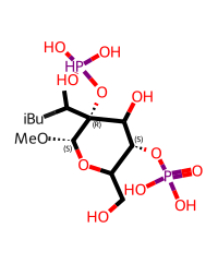 CCC(C)C(C)[C@@]1(O[PH](O)(O)O)C(O)[C@H](OP(=O)(O)O)C(CO)O[C@@H]1OC